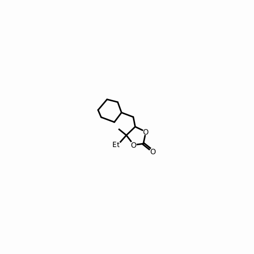 CCC1(C)OC(=O)OC1CC1CCCCC1